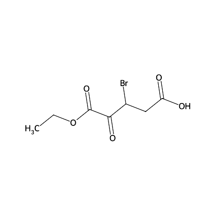 CCOC(=O)C(=O)C(Br)CC(=O)O